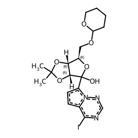 CC1(C)O[C@H]2[C@@H](O1)C(O)(c1ccc3c(I)ncnn13)O[C@@H]2COC1CCCCO1